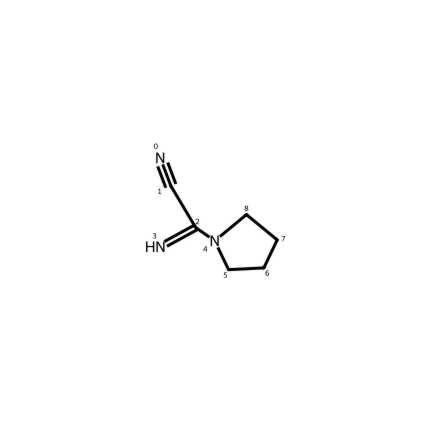 N#CC(=N)N1CCCC1